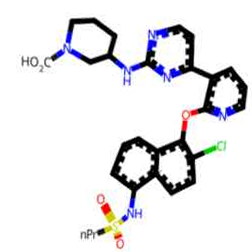 CCCS(=O)(=O)Nc1cccc2c(Oc3ncccc3-c3ccnc(NC4CCCN(C(=O)O)C4)n3)c(Cl)ccc12